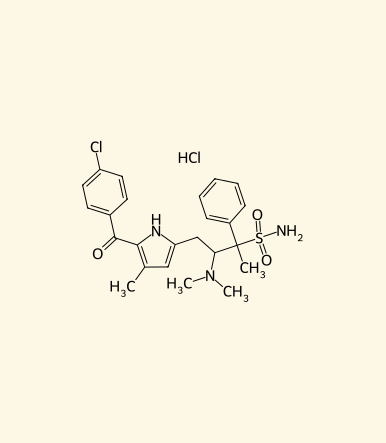 Cc1cc(CC(N(C)C)C(C)(c2ccccc2)S(N)(=O)=O)[nH]c1C(=O)c1ccc(Cl)cc1.Cl